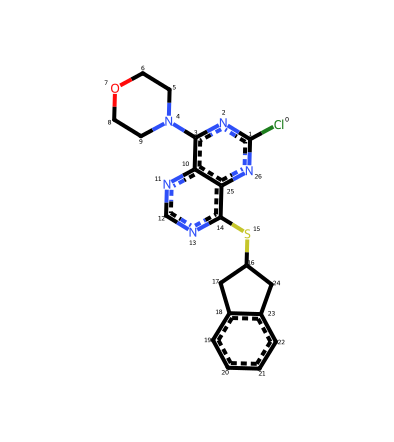 Clc1nc(N2CCOCC2)c2ncnc(SC3Cc4ccccc4C3)c2n1